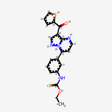 CCOC(=S)Nc1cccc(-c2ccnc3c(C(=O)c4cccs4)cnn23)c1